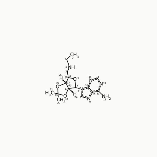 CCNC[C@H]1OC(n2cnc3c(N)ncnc32)[C@@H]2OC(C)(C)O[C@H]12